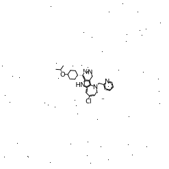 CC(C)O[C@H]1CC[C@H](C2=c3[nH]c4c(c3CN=N2)N(Cc2ccccn2)CC=C(Cl)C=4)CC1